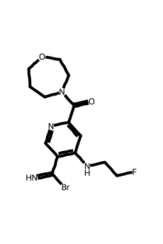 N=C(Br)c1cnc(C(=O)N2CCCOCC2)cc1NCCF